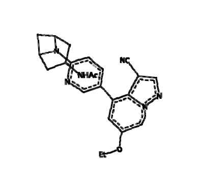 CCOc1cc(-c2ccc(N3C4CC(NC(C)=O)CC3C4)nc2)c2c(C#N)cnn2c1